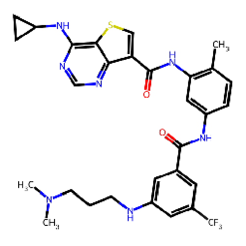 Cc1ccc(NC(=O)c2cc(NCCCN(C)C)cc(C(F)(F)F)c2)cc1NC(=O)c1csc2c(NC3CC3)ncnc12